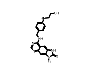 CCn1c(=S)[nH]c2cc3c(NCc4ccc(NCCO)cc4)ncnc3cc21